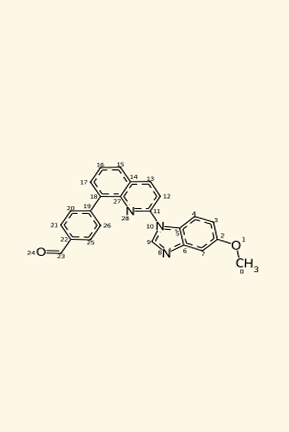 COc1ccc2c(c1)ncn2-c1ccc2cccc(-c3ccc(C=O)cc3)c2n1